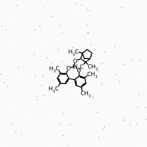 Cc1cc(C)c2op(OC3C4(C)CCC(C4)C3(C)C)oc3c(C)cc(C)cc3c2c1